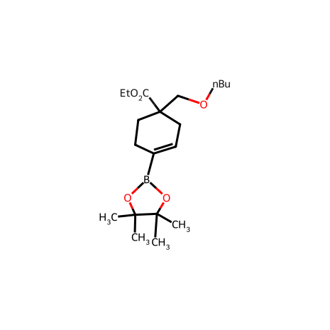 CCCCOCC1(C(=O)OCC)CC=C(B2OC(C)(C)C(C)(C)O2)CC1